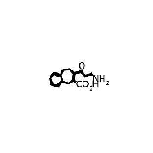 NCCC(=O)C1CCc2ccccc2CC1C(=O)O